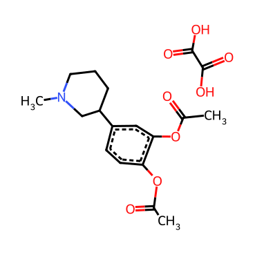 CC(=O)Oc1ccc(C2CCCN(C)C2)cc1OC(C)=O.O=C(O)C(=O)O